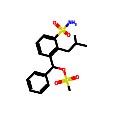 CC(C)Cc1c(C(OS(C)(=O)=O)c2ccccc2)cccc1S(N)(=O)=O